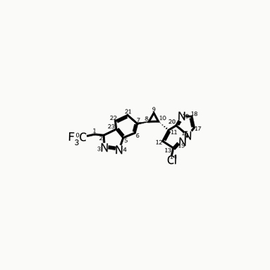 FC(F)(F)CC1N=Nc2cc([C@H]3C[C@@H]3c3cc(Cl)nn4ccnc34)ccc21